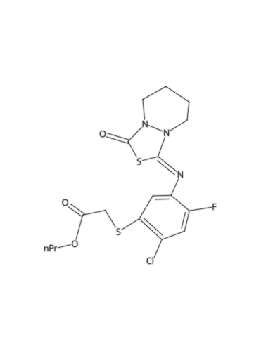 CCCOC(=O)CSc1cc(N=c2sc(=O)n3n2CCCC3)c(F)cc1Cl